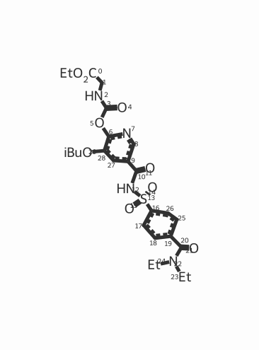 CCOC(=O)CNC(=O)Oc1ncc(C(=O)NS(=O)(=O)c2ccc(C(=O)N(CC)CC)cc2)cc1OCC(C)C